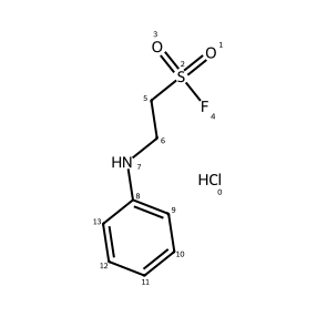 Cl.O=S(=O)(F)CCNc1ccccc1